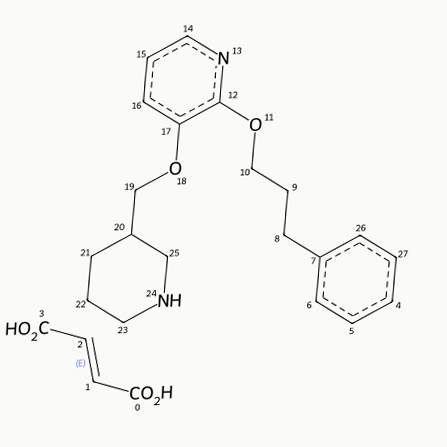 O=C(O)/C=C/C(=O)O.c1ccc(CCCOc2ncccc2OCC2CCCNC2)cc1